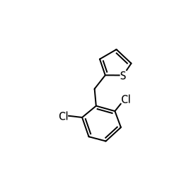 Clc1cccc(Cl)c1Cc1cccs1